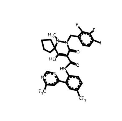 CN1N(Cc2ccc(I)c(F)c2F)C(=O)C(C(=O)Nc2ccc(C(F)(F)F)cc2-c2cc(C(F)(F)F)ncn2)=C(O)C12CCCC2